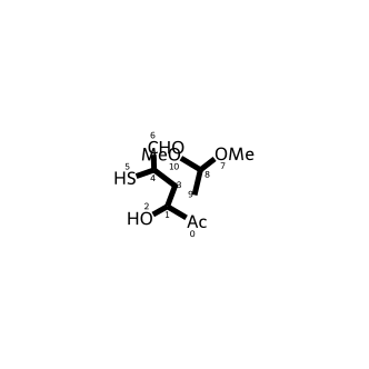 CC(=O)C(O)CC(S)C=O.COC(C)OC